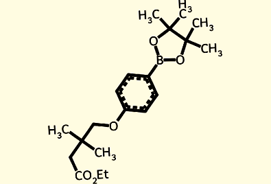 CCOC(=O)CC(C)(C)COc1ccc(B2OC(C)(C)C(C)(C)O2)cc1